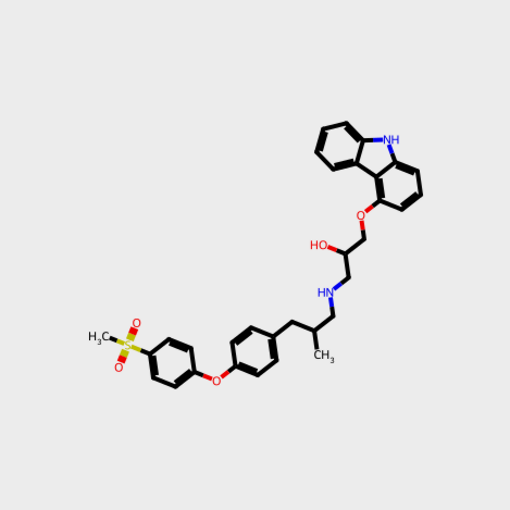 CC(CNCC(O)COc1cccc2[nH]c3ccccc3c12)Cc1ccc(Oc2ccc(S(C)(=O)=O)cc2)cc1